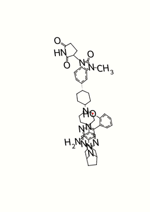 Cn1c(=O)n(C2CCC(=O)NC2=O)c2ccc([C@H]3CC[C@@H](N4CCC(c5cnc(N6C7CCC6CN(c6cc(-c8ccccc8O)nnc6N)C7)nc5)CC4)CC3)cc21